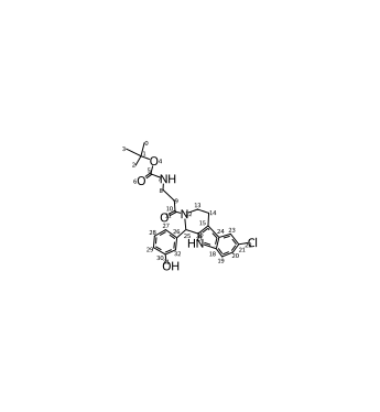 CC(C)(C)OC(=O)NCCC(=O)N1CCc2c([nH]c3ccc(Cl)cc23)C1c1cccc(O)c1